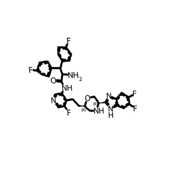 NC(C(=O)Nc1cncc(F)c1CC[C@@H]1CN[C@H](c2nc3cc(F)c(F)cc3[nH]2)CO1)C(c1ccc(F)cc1)c1ccc(F)cc1